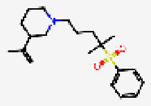 C=C(C)C1CCCN(CCCC(C)(C)S(=O)(=O)c2ccccc2)C1